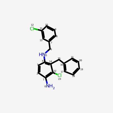 Nc1ccc(NCc2cccc(Cl)c2)c(Cc2ccccc2)c1Cl